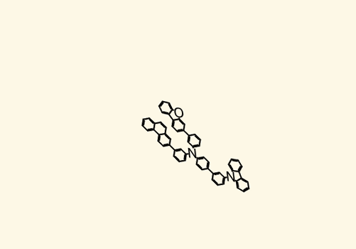 c1cc(-c2ccc3c(ccc4ccccc43)c2)cc(N(c2ccc(-c3cccc(-n4c5ccccc5c5ccccc54)c3)cc2)c2cccc(-c3ccc4c(c3)oc3ccccc34)c2)c1